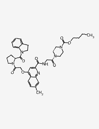 CCCCOC(=O)N1CCN(C(=O)CNC(=O)c2cc(OCC(=O)N3CCCC3C(=O)N3CCc4ccccc43)c3ccc(C)cc3n2)CC1